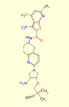 COC(C)(C)COC1CN(c2ccc3c(n2)CCC(NC(=O)c2sc4nc(C)cc(C)c4c2N)C3)CC1N